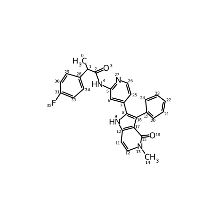 CC(C(=O)Nc1cc(-c2[nH]c3ccn(C)c(=O)c3c2-c2ccccc2)ccn1)c1ccc(F)cc1